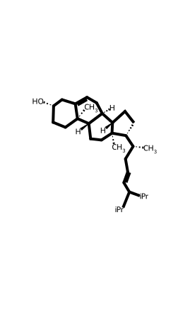 CC(C)C(/C=C/C[C@@H](C)[C@H]1CC[C@H]2[C@@H]3CC=C4C[C@@H](O)CC[C@]4(C)[C@H]3CC[C@]12C)C(C)C